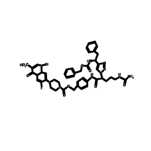 CCN1C=C(C(=O)O)C(=O)C2C=C(F)C(N3CCN(C(=O)OCc4ccc(NC(=O)C(CCCNC(N)=O)n5cc(C(Cc6ccccc6)NC(=O)OCc6ccccc6)nn5)cc4)CC3)=CC21